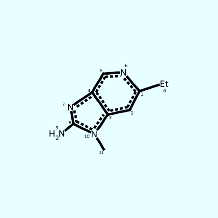 CCc1cc2c(cn1)nc(N)n2C